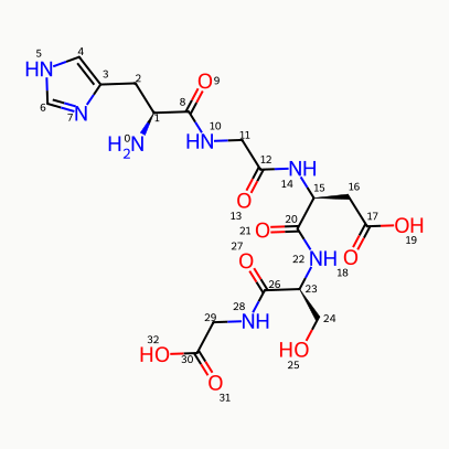 N[C@@H](Cc1c[nH]cn1)C(=O)NCC(=O)N[C@@H](CC(=O)O)C(=O)N[C@@H](CO)C(=O)NCC(=O)O